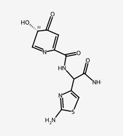 [NH]C(=O)C(NC(=O)C1=CC(=O)[C@@H](O)C=N1)c1csc(N)n1